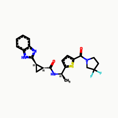 C[C@@H](NC(=O)[C@@H]1C[C@H]1c1nc2ccccc2[nH]1)c1ccc(C(=O)N2CCC(F)(F)C2)s1